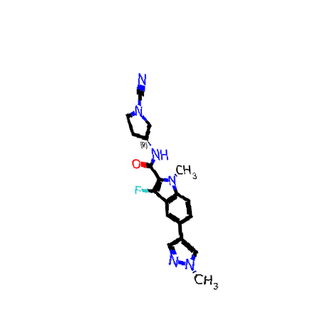 Cn1cc(-c2ccc3c(c2)c(F)c(C(=O)N[C@@H]2CCN(C#N)C2)n3C)cn1